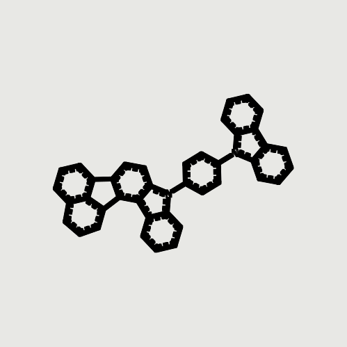 c1cc2c3c(cccc3c1)-c1c-2ccc2c1c1ccccc1n2-c1ccc(-n2c3ccccc3c3ccccc32)cc1